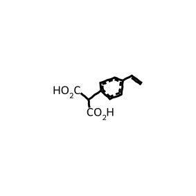 C=Cc1ccc(C(C(=O)O)C(=O)O)cc1